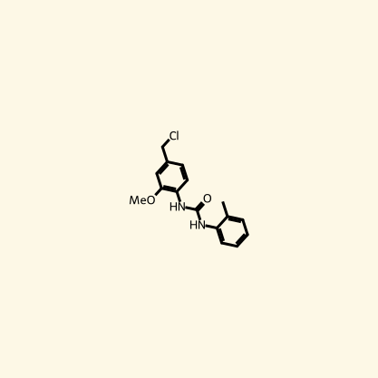 COc1cc(CCl)ccc1NC(=O)Nc1ccccc1C